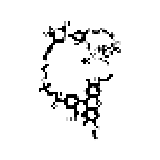 CC/N=C1/C=C2Oc3cc(NCC)c(C)cc3C(c3ccc(C(=O)NCC(C)(C)SSCOCC#Cc4cn([C@H]5CC(OCN=[N+]=[N-])[C@@H](COP(=O)(O)OP(=O)(O)OP(=O)(O)O)O5)c(=O)[nH]c4=O)cc3C(=O)O)C2C=C1C